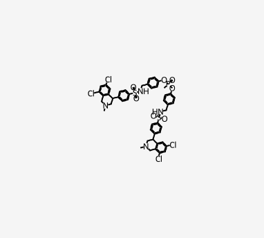 CN1Cc2c(Cl)cc(Cl)cc2C(c2ccc(S(=O)(=O)NCc3ccc(OP(C)(=O)Oc4ccc(CNS(=O)(=O)c5ccc(C6CN(C)Cc7c(Cl)cc(Cl)cc76)cc5)cc4)cc3)cc2)C1